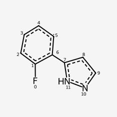 Fc1ccc[c]c1-c1ccn[nH]1